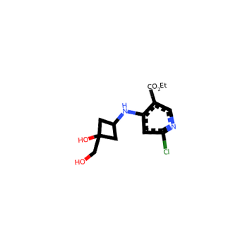 CCOC(=O)c1cnc(Cl)cc1NC1CC(O)(CO)C1